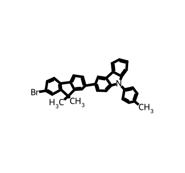 Cc1ccc(-n2c3ccccc3c3cc(-c4ccc5c(c4)C(C)(C)c4cc(Br)ccc4-5)ccc32)cc1